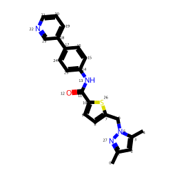 Cc1cc(C)n(Cc2ccc(C(=O)Nc3ccc(-c4cccnc4)cc3)s2)n1